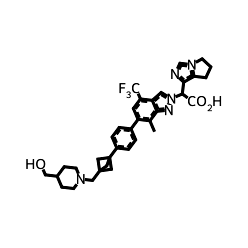 Cc1c(-c2ccc(C34CC(CN5CCC(CO)CC5)(C3)C4)cc2)cc(C(F)(F)F)c2cn(C(C(=O)O)c3ncn4c3CCC4)nc12